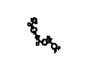 O=C(c1ccc2c(c1)ncn2C1CCC(F)(F)CC1)N1CC(N2CCN(C(=O)c3nccs3)CC2)C1